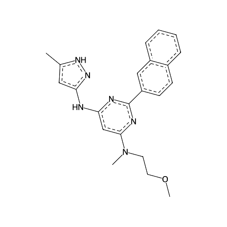 COCCN(C)c1cc(Nc2cc(C)[nH]n2)nc(-c2ccc3ccccc3c2)n1